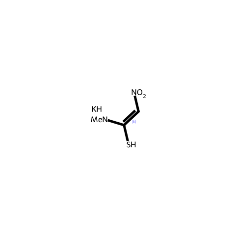 CN/C(S)=C\[N+](=O)[O-].[KH]